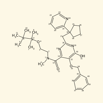 CN(CCO[Si](C)(C)C(C)(C)C)C(=O)c1nc(CC2(c3ccccn3)CCCC2)nc(O)c1OCc1ccccc1